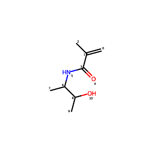 C=C(C)C(=O)NC(C)C(C)O